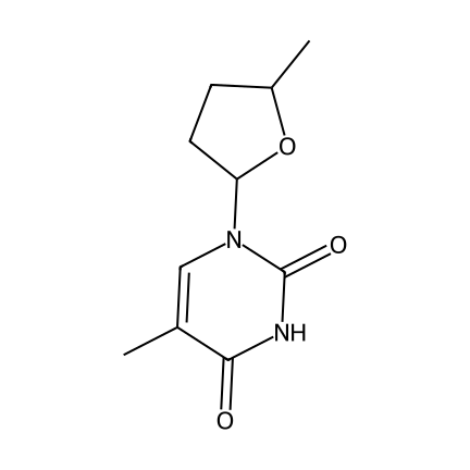 Cc1cn(C2CCC(C)O2)c(=O)[nH]c1=O